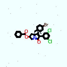 CCC1=C(c2cc(Cl)cc(Cl)c2)C(=O)N2CC(OC(=O)c3ccccc3)C[C@@]12Cc1ccc(Br)cc1